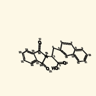 O=C(O)C(Cc1ccc2ccccc2c1)N1C(=O)c2ccccc2C1=O